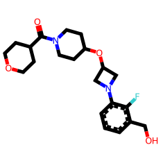 O=C(C1CCOCC1)N1CCC(OC2CN(c3cccc(CO)c3F)C2)CC1